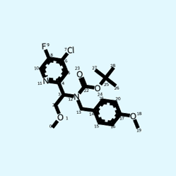 COCC(c1cc(Cl)c(F)cn1)N(Cc1ccc(OC)cc1)C(=O)OC(C)(C)C